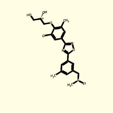 CCN(C)Cc1cc(C)cc(-c2nc(-c3cc(C)c(OC[C@@H](O)CO)c(Cl)c3)no2)c1